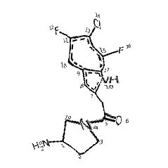 NC1CCN(C(=O)c2cc3cc(F)c(Cl)c(F)c3[nH]2)C1